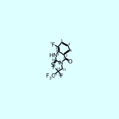 O=c1c2cccc(F)c2[nH]c(=S)n1CC(F)(F)C(F)(F)F